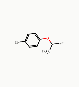 CCCC(Oc1ccc(CC)cc1)C(=O)O